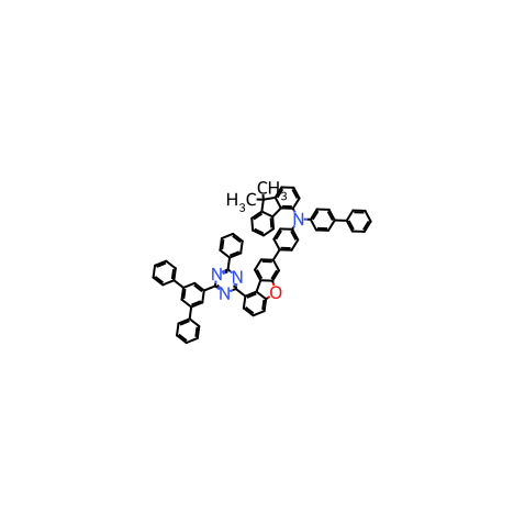 CC1(C)c2ccccc2-c2c(N(c3ccc(-c4ccccc4)cc3)c3ccc(-c4ccc5c(c4)oc4cccc(-c6nc(-c7ccccc7)nc(-c7cc(-c8ccccc8)cc(-c8ccccc8)c7)n6)c45)cc3)cccc21